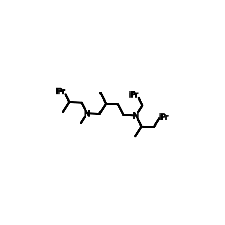 CC(C)CC(C)N(CCC(C)CN(C)CC(C)C(C)C)CC(C)C